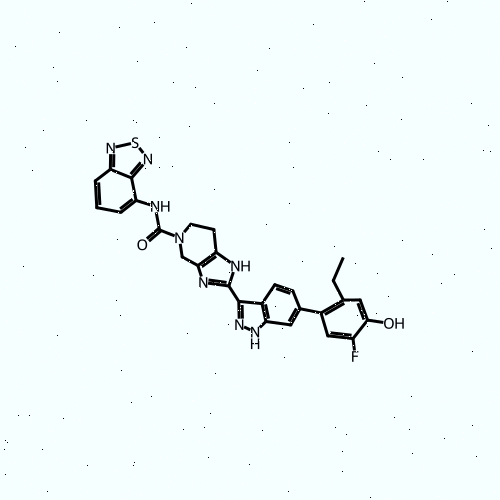 CCc1cc(O)c(F)cc1-c1ccc2c(-c3nc4c([nH]3)CCN(C(=O)Nc3cccc5nsnc35)C4)n[nH]c2c1